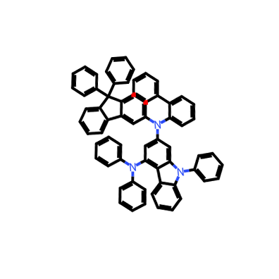 c1ccc(-c2ccccc2N(c2ccc3c(c2)-c2ccccc2C3(c2ccccc2)c2ccccc2)c2cc(N(c3ccccc3)c3ccccc3)c3c4ccccc4n(-c4ccccc4)c3c2)cc1